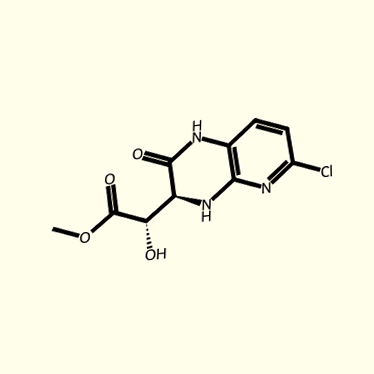 COC(=O)[C@@H](O)[C@@H]1Nc2nc(Cl)ccc2NC1=O